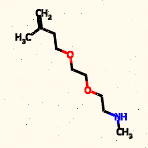 C=C(C)CCOCCOCCNC